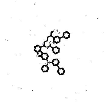 C=CC(CC/C=C(\N=C(/C)c1ccccc1)c1cccc2oc3cc(N(c4ccccc4)c4cccc(-c5ccccc5)c4)ccc3c12)c1cccc(-c2ccccc2)c1